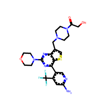 Nc1cc(C(F)(F)F)c(-c2nc(N3CCOCC3)nc3c(CN4CCN(C(=O)CO)CC4)csc23)cn1